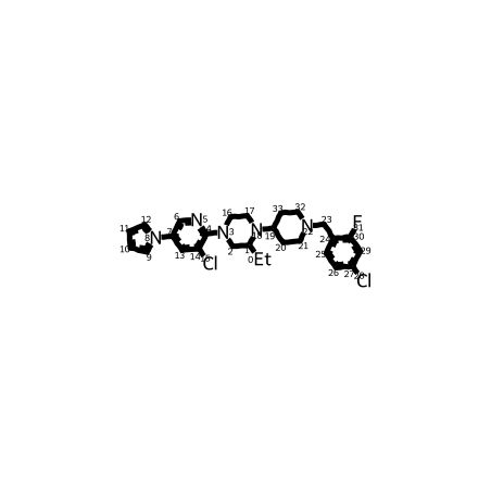 CCC1CN(c2ncc(-n3cccc3)cc2Cl)CCN1C1CCN(Cc2ccc(Cl)cc2F)CC1